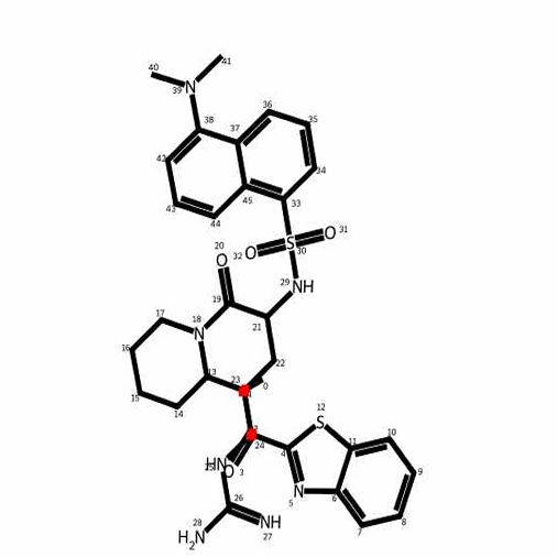 CC(C(=O)c1nc2ccccc2s1)C1CCCCN1C(=O)C(CCCNC(=N)N)NS(=O)(=O)c1cccc2c(N(C)C)cccc12